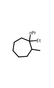 CCCC1(CC)CCCCC[C]1C